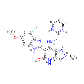 COc1cc(F)c2nc(-c3c(NCc4ncccn4)c4nn(C)cc4[nH]c3=O)[nH]c2c1